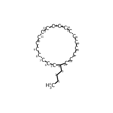 CCCCC1CCCCCCCCCCCCCCCCCCC1